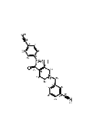 N#Cc1ccc(-n2[nH]c3c(c2=O)CCN(Cc2cccc(C#N)c2)C3)cc1